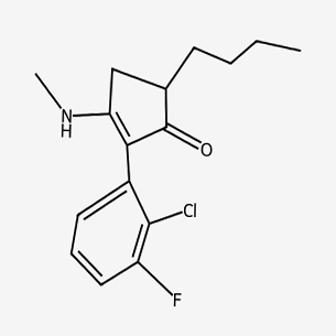 CCCCC1CC(NC)=C(c2cccc(F)c2Cl)C1=O